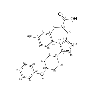 O=C(O)N1Cc2cc(F)ccc2-n2c(nnc2C2CCC(Oc3ccccc3)CC2)C1